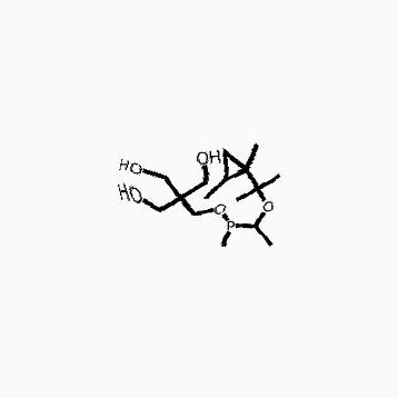 CC(OC(C)(C)C1(C)CC1C)P(C)OCC(CO)(CO)CO